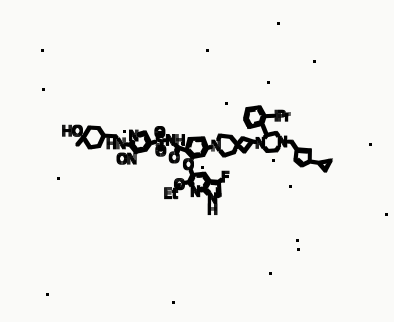 CCOc1nc2[nH]cc(F)c2cc1Oc1cc(N2CCC3(CC2)CC(N2CCN(CC4=CC(C5CC5)C=C4)CC2c2ccccc2C(C)C)C3)ccc1C(=O)NS(=O)(=O)c1cnc(NCC2CCC(C)(O)CC2)c(N=O)c1